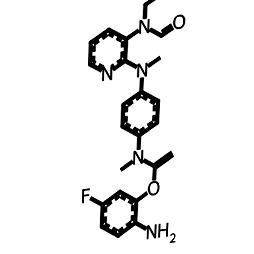 C=C(Oc1cc(F)ccc1N)N(C)c1ccc(N(C)c2ncccc2N(C=O)CC)cc1